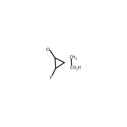 CC(=O)O.FC1CC1Cl